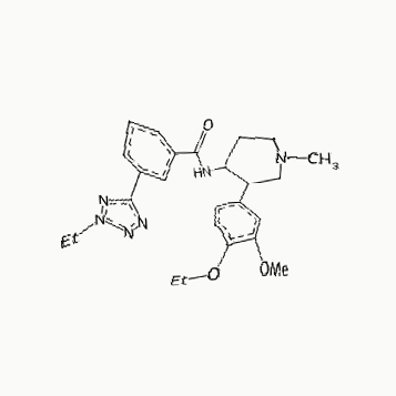 CCOc1ccc(C2CN(C)CCC2NC(=O)c2cccc(-c3nnn(CC)n3)c2)cc1OC